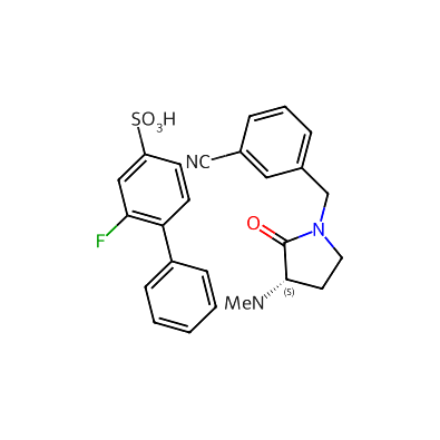 CN[C@H]1CCN(Cc2cccc(C#N)c2)C1=O.O=S(=O)(O)c1ccc(-c2ccccc2)c(F)c1